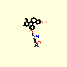 C=Cc1cc(C)ccc1C1=C(c2ccc(OCCNC/C=C/C(=O)N(C)C)cc2)c2ccc(O)cc2CCC1